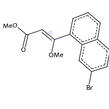 COC(=O)/C=C(\OC)c1cccc2ccc(Br)cc12